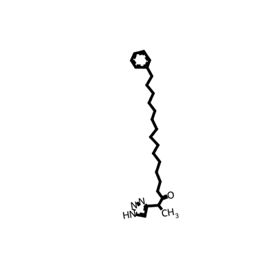 CC(C(=O)CCCCCCCCCCCCCCc1ccccc1)c1c[nH]nn1